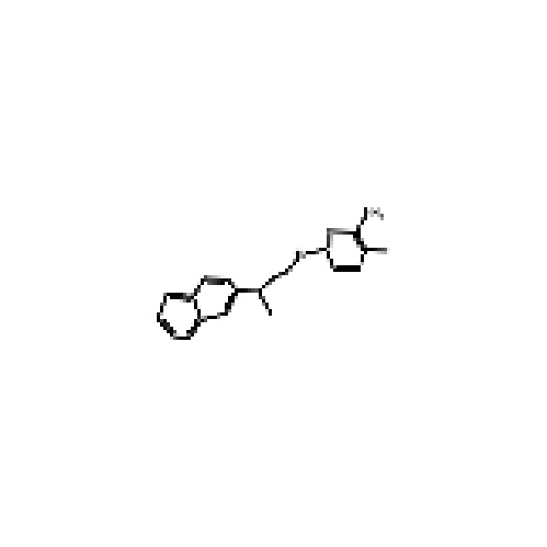 Cc1ccc(NCCC(C)c2ccc3ccccc3c2)cc1N